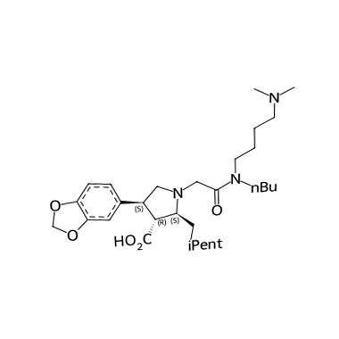 CCCCN(CCCCN(C)C)C(=O)CN1C[C@H](c2ccc3c(c2)OCO3)[C@@H](C(=O)O)[C@@H]1CC(C)CCC